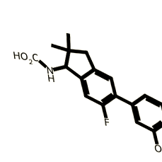 COc1cc(-c2cc3c(cc2F)C(NC(=O)O)C(C)(C)C3)ccn1